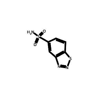 NS(=O)(=O)c1ccc2snnc2c1